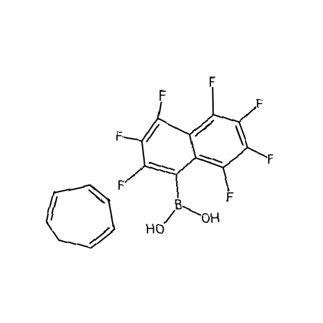 C1=CC=CCC=C1.OB(O)c1c(F)c(F)c(F)c2c(F)c(F)c(F)c(F)c12